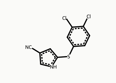 N#Cc1c[nH]c(Sc2ccc(Cl)c(Cl)c2)c1